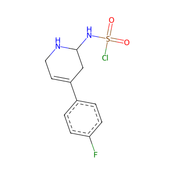 O=S(=O)(Cl)NC1CC(c2ccc(F)cc2)=CCN1